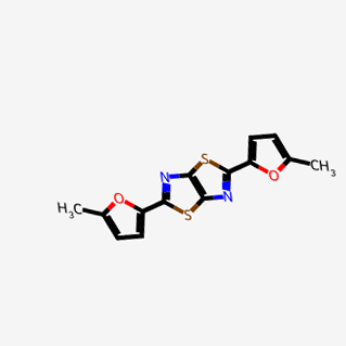 Cc1ccc(-c2nc3sc(-c4ccc(C)o4)nc3s2)o1